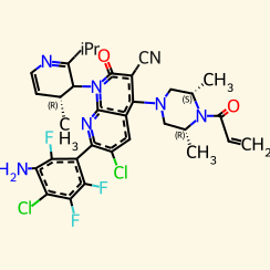 C=CC(=O)N1[C@H](C)CN(c2c(C#N)c(=O)n(C3C(C(C)C)=NC=C[C@H]3C)c3nc(-c4c(F)c(N)c(Cl)c(F)c4F)c(Cl)cc23)C[C@@H]1C